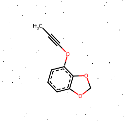 CC#COc1cccc2c1OCO2